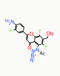 CC(=O)N(N=[N+]=[N-])c1c(F)c(CO)c(F)c2oc(-c3ccc(N)c(F)c3)cc(=O)c12